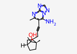 Cc1nc2ncnn2c(N)c1C#CC[C@@]1(O)C[C@H]2CC[C@]1(C)C2(C)C